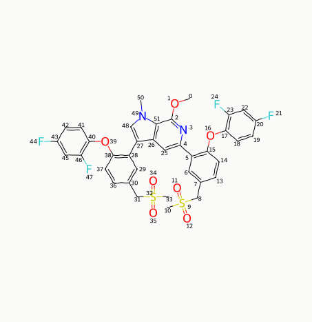 COc1nc(-c2cc(CS(C)(=O)=O)ccc2Oc2ccc(F)cc2F)cc2c(-c3cc(CS(C)(=O)=O)ccc3Oc3ccc(F)cc3F)cn(C)c12